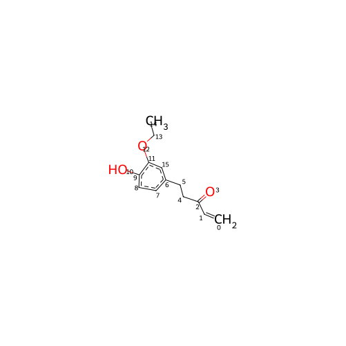 C=CC(=O)CCc1ccc(O)c(OCC)c1